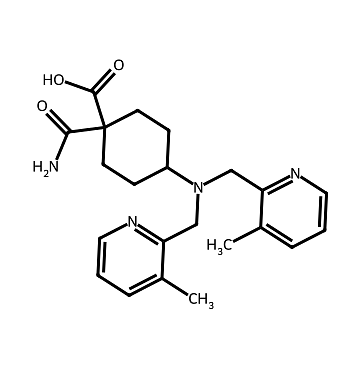 Cc1cccnc1CN(Cc1ncccc1C)C1CCC(C(N)=O)(C(=O)O)CC1